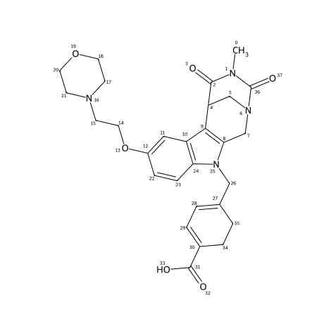 CN1C(=O)C2CN(Cc3c2c2cc(OCCN4CCOCC4)ccc2n3CC2=CC=C(C(=O)O)CC2)C1=O